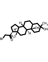 CC1(O)CC[C@@]2(C)C(CC[C@H]3[C@@H]4CC[C@H](C(=O)CBr)[C@@]4(C)CC[C@@H]32)C1